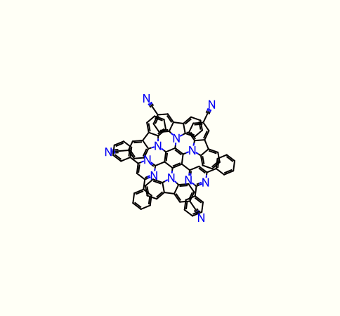 N#Cc1ccc2c(c1)c1ccccc1n2-c1c(-c2cc(-c3ccccc3)nc(-c3ccccc3)n2)c(-n2c3ccccc3c3cc(C#N)ccc32)c(-n2c3ccccc3c3cc(C#N)ccc32)c(-n2c3ccccc3c3cc(C#N)ccc32)c1-c1nc(-c2ccccc2)cc(-c2ccccc2)n1